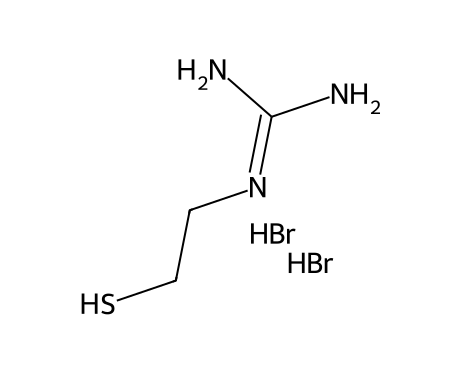 Br.Br.NC(N)=NCCS